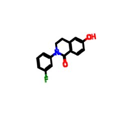 O=C1c2ccc(O)cc2CCN1c1cccc(F)c1